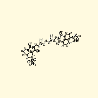 CN(C)S(=O)(=O)c1cc2c3c(cccc3c1)C(=O)N(CCNCCCNCCN1C(=O)c3cccc4c(-n5ccnc5)ccc(c34)C1=O)C2=O